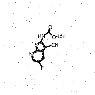 CC(C)(C)OC(=O)Nc1sc2ncc(F)cc2c1C#N